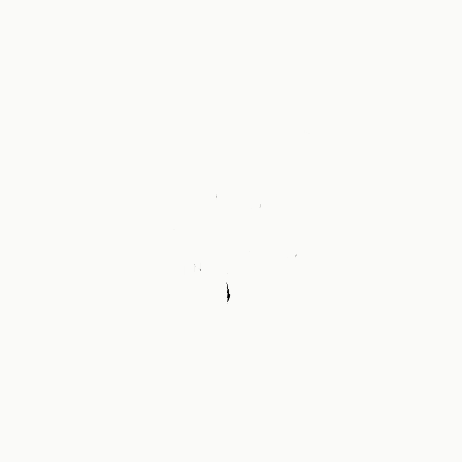 C#CC[C@@H](NC(=O)C(C)C)C(=O)OCC[Si](C)(C)C